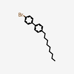 CCCCCCCCCc1ccc(-c2ccc(Br)cc2)cc1